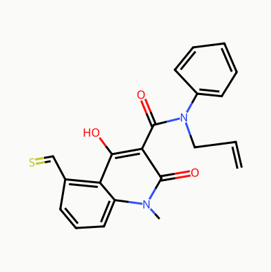 C=CCN(C(=O)c1c(O)c2c(C=S)cccc2n(C)c1=O)c1ccccc1